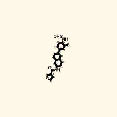 CCc1cc(-c2ccc3cc(NC(=O)c4ccsc4)ccc3c2)ccc1NC=O